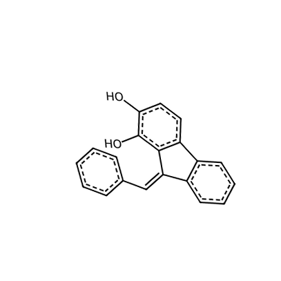 Oc1ccc2c(c1O)C(=Cc1ccccc1)c1ccccc1-2